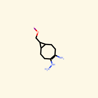 NN/C1=C(\N)CCC2C(CC1)C2COI